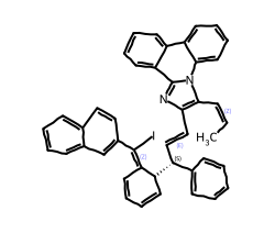 C/C=C\c1c(/C=C/[C@H](c2ccccc2)C2C=CC=C/C2=C(/I)c2ccc3ccccc3c2)nc2c3ccccc3c3ccccc3n12